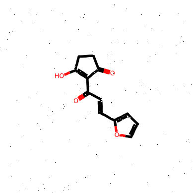 O=C(/C=C/c1ccco1)C1=C(O)CCC1=O